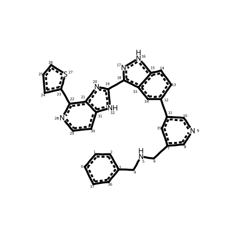 c1ccc(CNCc2cncc(-c3ccc4[nH]nc(-c5nc6c(-c7cccs7)nccc6[nH]5)c4c3)c2)cc1